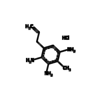 C=CCc1cc(N)c(C)c(N)c1N.Cl